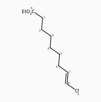 CCOC(=O)CCCCCCC=CCl